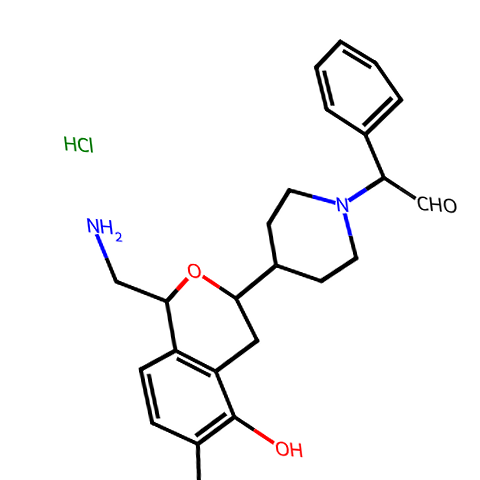 Cc1ccc2c(c1O)CC(C1CCN(C(C=O)c3ccccc3)CC1)OC2CN.Cl